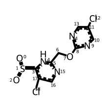 O=S(=O)=c1[nH]c(COc2ncc(Cl)cn2)ncc1Cl